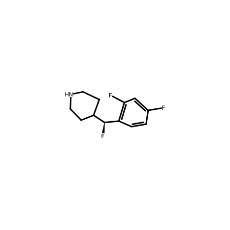 Fc1ccc([C@@H](F)C2CCNCC2)c(F)c1